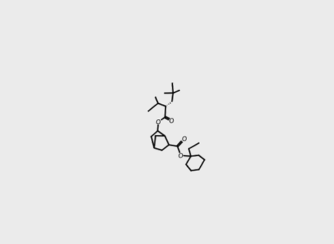 CCC1(OC(=O)C2CC3CC(OC(=O)[C@@H](CC(C)(C)C)C(C)C)C2C3)CCCCC1